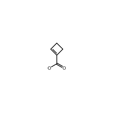 [O]C(=O)C1=CCC1